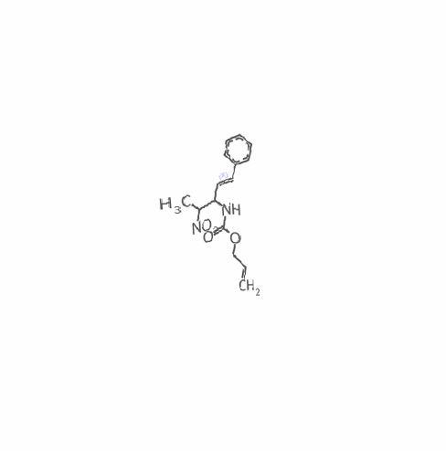 C=CCOC(=O)NC(/C=C/c1ccccc1)C(C)[N+](=O)[O-]